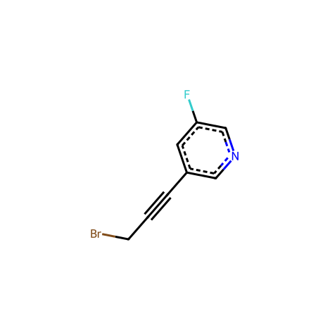 Fc1cncc(C#CCBr)c1